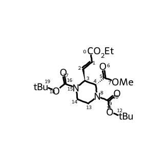 CCOC(=O)/C=C/[C@H]1[C@H](C(=O)OC)N(C(=O)OC(C)(C)C)CCN1C(=O)OC(C)(C)C